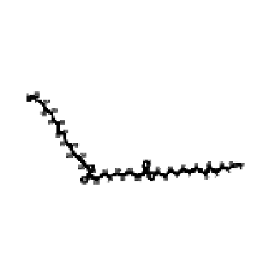 CC(C)CCCCCCCCCCCCOC(=O)CCCCCCCC(=O)OCCCCCCCCCCCCC(C)C